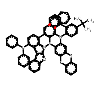 CC(C)(C)c1ccc(N2c3cc4c(cc3B3c5c(cc6oc7ccccc7c6c52)-c2ccc(N(c5ccccc5)c5ccccc5)c5c6c7ccccc7oc6n3c25)Sc2ccccc2S4)c(-c2ccccc2)c1